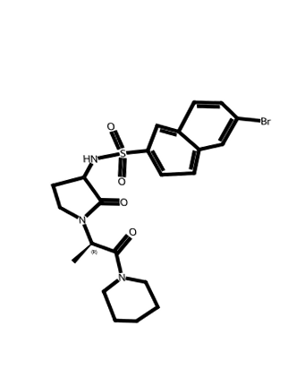 C[C@H](C(=O)N1CCCCC1)N1CCC(NS(=O)(=O)c2ccc3cc(Br)ccc3c2)C1=O